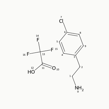 NCCc1ccc(Cl)cc1.O=C(O)C(F)(F)F